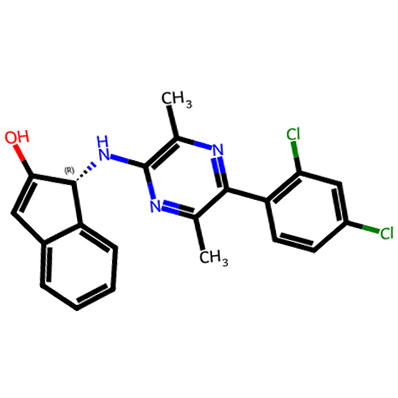 Cc1nc(-c2ccc(Cl)cc2Cl)c(C)nc1N[C@H]1C(O)=Cc2ccccc21